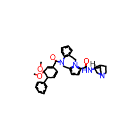 COC1(OC)C=C(C(=O)N2Cc3ccc(C(=O)N[C@@H]4CN5CCC4CC5)n3Cc3ccccc32)C=CC1c1ccccc1